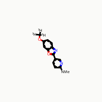 [3H]C([3H])([3H])Oc1ccc2nc(-c3ccc(NC)nc3)oc2c1